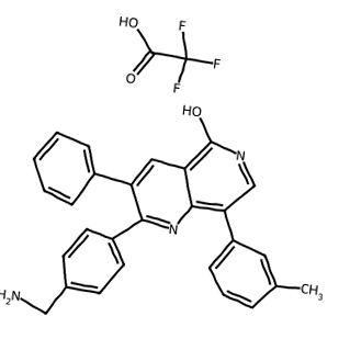 Cc1cccc(-c2cnc(O)c3cc(-c4ccccc4)c(-c4ccc(CN)cc4)nc23)c1.O=C(O)C(F)(F)F